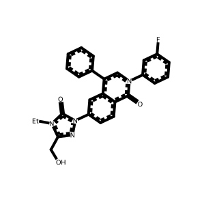 CCn1c(CO)nn(-c2ccc3c(=O)n(-c4cccc(F)c4)cc(-c4ccccc4)c3c2)c1=O